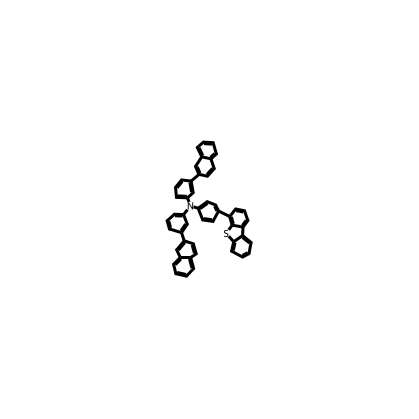 c1cc(-c2ccc3ccccc3c2)cc(N(c2ccc(-c3cccc4c3sc3ccccc34)cc2)c2cccc(-c3ccc4ccccc4c3)c2)c1